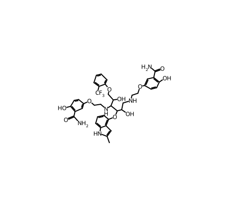 Cc1cc2c(OC(C(O)CNCCOc3ccc(O)c(C(N)=O)c3)C(NCCOc3ccc(O)c(C(N)=O)c3)C(O)COc3ccccc3C(F)(F)F)cccc2[nH]1